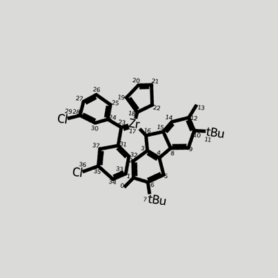 Cc1cc2c(cc1C(C)(C)C)-c1cc(C(C)(C)C)c(C)cc1[CH]2[Zr]([C]1=CC=CC1)=[C](c1cccc(Cl)c1)c1cccc(Cl)c1